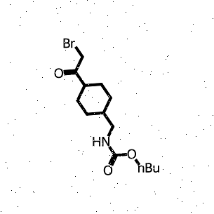 CCCCOC(=O)NCC1CCC(C(=O)CBr)CC1